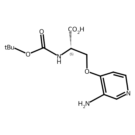 CC(C)(C)OC(=O)N[C@@H](COc1ccncc1N)C(=O)O